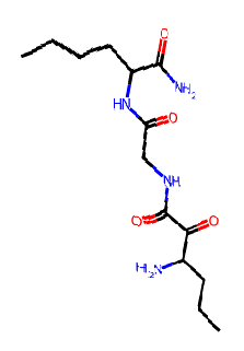 CCCCC(NC(=O)CNC(=O)C(=O)C(N)CCC)C(N)=O